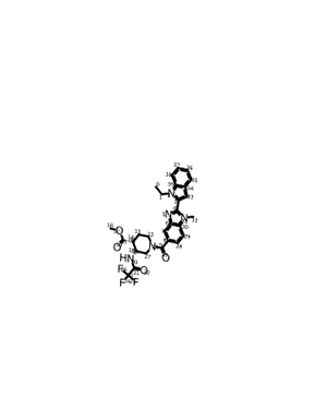 CCn1c(-c2nc3cc(C(=O)N4CC[C@@H](C(=O)OC)[C@@H](NC(=O)C(F)(F)F)C4)ccc3n2C)cc2ccccc21